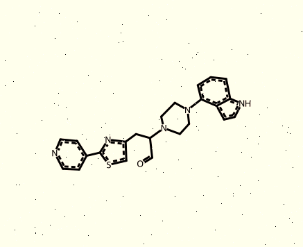 O=CC(Cc1csc(-c2ccncc2)n1)N1CCN(c2cccc3[nH]ccc23)CC1